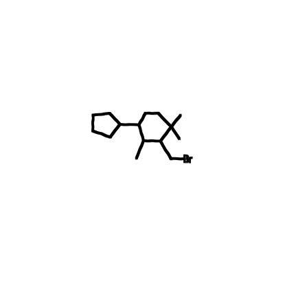 CC1C(C2CCCC2)CCC(C)(C)C1CBr